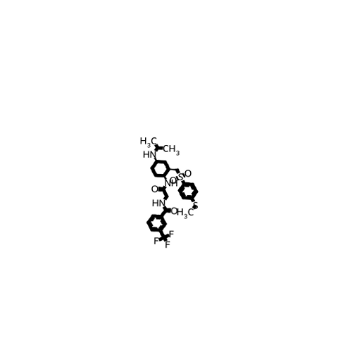 CSc1ccc(S(=O)(=O)C[C@@H]2C[C@H](NC(C)C)CC[C@@H]2NC(=O)CNC(=O)c2cccc(C(F)(F)F)c2)cc1